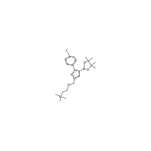 CC1(C)OB(c2cn(COCC[Si](C)(C)C)nc2-c2ccc(F)cc2)OC1(C)C